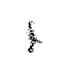 CCCCCOC(=O)Nc1ccn([C@@H]2O[C@H](CO)[C@@H](OC(=O)CCc3cccnc3)C2(F)F)c(=O)n1